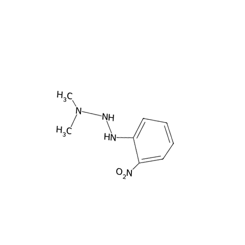 CN(C)NNc1ccccc1[N+](=O)[O-]